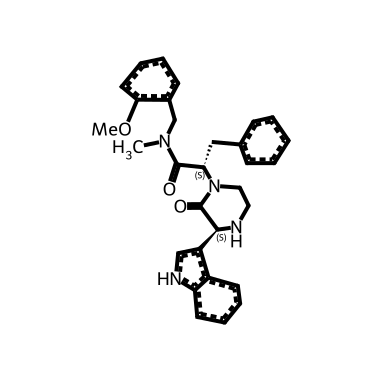 COc1ccccc1CN(C)C(=O)[C@H](Cc1ccccc1)N1CCN[C@@H](c2c[nH]c3ccccc23)C1=O